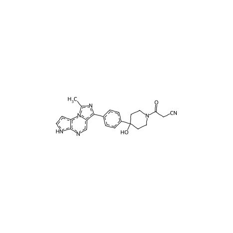 Cc1nc(-c2ccc(C3(O)CCN(C(=O)CC#N)CC3)cc2)c2cnc3[nH]ccc3n12